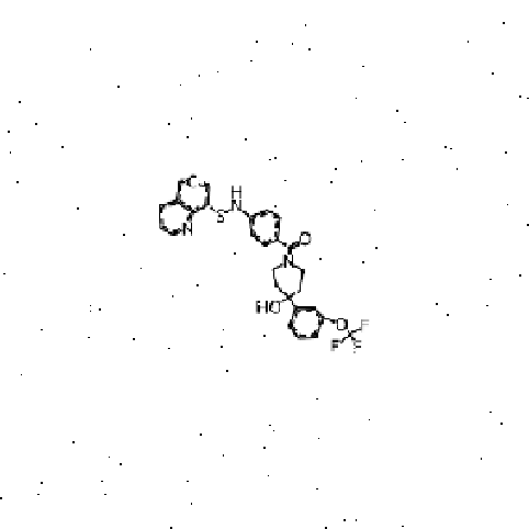 O=C(c1ccc(NSc2cccc3cccnc23)cc1)N1CCC(O)(c2cccc(OC(F)(F)F)c2)CC1